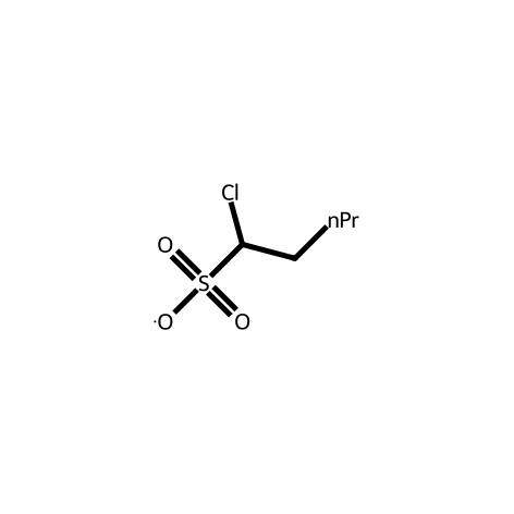 CCCCC(Cl)S([O])(=O)=O